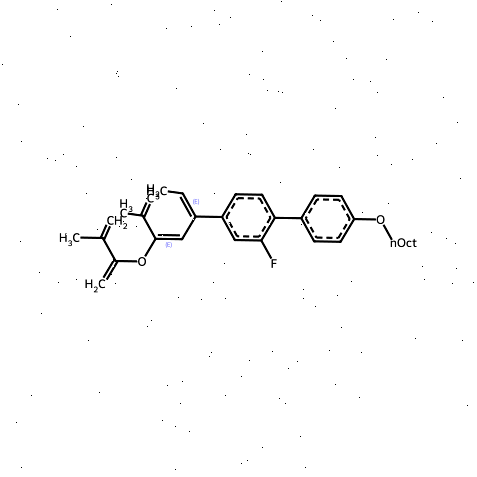 C=C(C)C(=C)O/C(=C/C(=C\C)c1ccc(-c2ccc(OCCCCCCCC)cc2)c(F)c1)C(=C)C